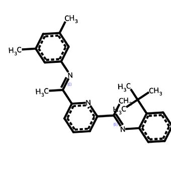 C/C(=N\c1cc(C)cc(C)c1)c1cccc(/C(C)=N/c2ccccc2C(C)(C)C)n1